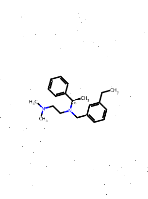 CCc1cccc(CN(CCN(C)C)[C@H](C)c2ccccc2)c1